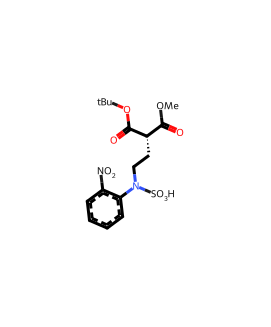 COC(=O)[C@H](CCN(c1ccccc1[N+](=O)[O-])S(=O)(=O)O)C(=O)OC(C)(C)C